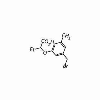 CCC(Oc1cc(C)cc(CBr)c1)C(=O)O